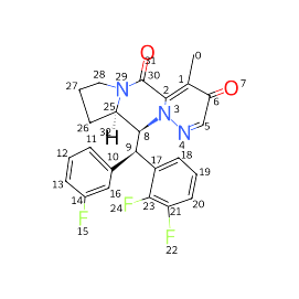 Cc1c2n(ncc1=O)[C@@H]([C@H](c1cccc(F)c1)c1cccc(F)c1F)[C@H]1CCCN1C2=O